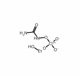 CCO.NC(=O)NO[Cl+3]([O-])([O-])[O-]